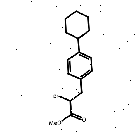 COC(=O)C(Br)Cc1ccc(C2CCCCC2)cc1